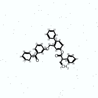 C=CC(C(=O)Oc1ccc(-c2ccccc2)c(COc2cccc(C(=O)C3C=CC=CC3)c2)c1)c1ccccc1